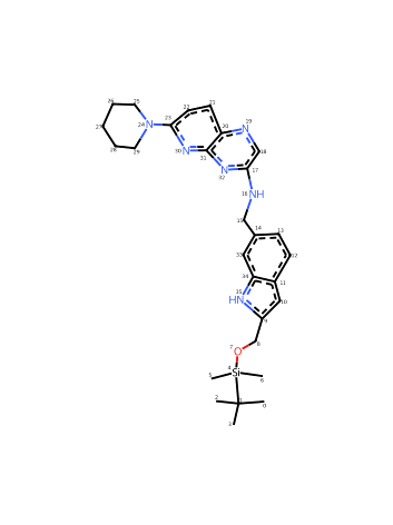 CC(C)(C)[Si](C)(C)OCc1cc2ccc(CNc3cnc4ccc(N5CCCCC5)nc4n3)cc2[nH]1